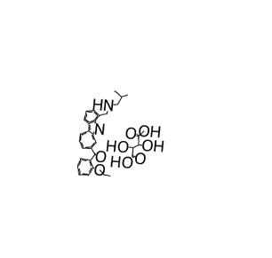 CCOc1ccccc1C(=O)c1cccc2c3cccc(CNCC(C)C)c3nc-2c1.O=C(O)C(O)C(O)C(=O)O